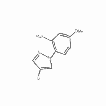 COc1ccc(-n2cc(Cl)cn2)c(SC)c1